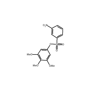 COc1cc(OS(=O)(=O)c2cccc([N+](=O)[O-])c2)cc(OC)c1OC